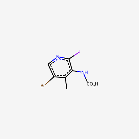 Cc1c(Br)cnc(I)c1NC(=O)O